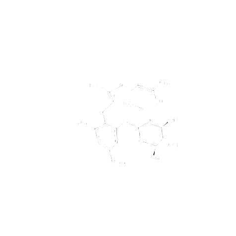 CCCCCCc1cc(O)c(C/C=C(\C)CCC=C(C)C)c(OC2O[C@H](O)[C@@H](O)[C@H](O)[C@H]2CO)c1